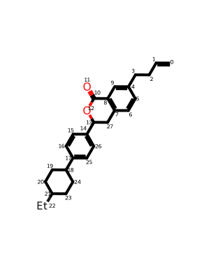 C=CCCc1ccc2c(c1)C(=O)OC(c1ccc(C3CCC(CC)CC3)cc1)C2